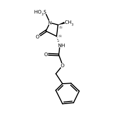 C[C@H]1[C@H](NC(=O)OCc2ccccc2)C(=O)N1S(=O)(=O)O